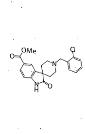 COC(=O)c1ccc2c(c1)C1(CCN(Cc3ccccc3Cl)CC1)C(=O)N2